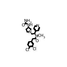 CN(C(=O)Cc1ccc(Cl)c(Cl)c1)C(CN1CCC(NC(N)=O)C1)c1ccncc1